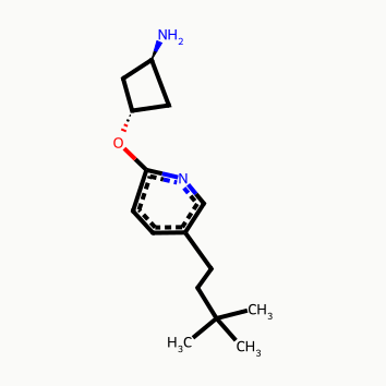 CC(C)(C)CCc1ccc(O[C@H]2C[C@H](N)C2)nc1